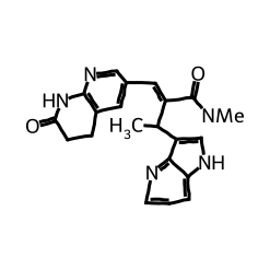 CNC(=O)C(=Cc1cnc2c(c1)CCC(=O)N2)C(C)c1c[nH]c2cccnc12